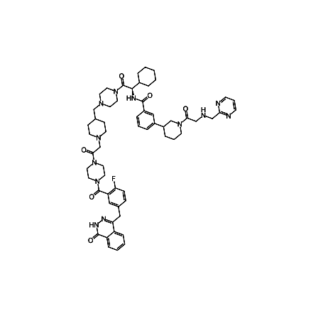 O=C(N[C@@H](C(=O)N1CCN(CC2CCN(CC(=O)N3CCN(C(=O)c4cc(Cc5n[nH]c(=O)c6ccccc56)ccc4F)CC3)CC2)CC1)C1CCCCC1)c1cccc(C2CCCN(C(=O)CNCc3ncccn3)C2)c1